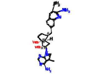 Bc1cc2ccc(C[C@@H]3CC[C@@]4(O)[C@@H]3C[C@@H](n3cc(C)c5c(N)ncnc53)[C@@H]4O)cc2nc1N